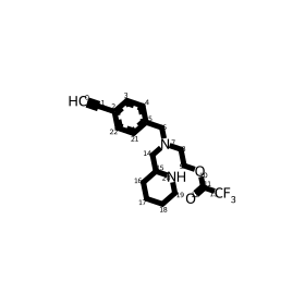 C#Cc1ccc(CN(CCOC(=O)C(F)(F)F)CC2CCCCN2)cc1